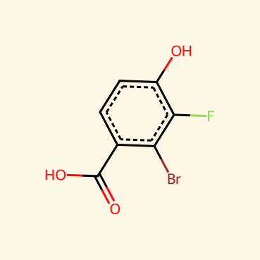 O=C(O)c1ccc(O)c(F)c1Br